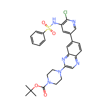 CC(C)(C)OC(=O)N1CCN(c2cnc3ccc(-c4cnc(Cl)c(NS(=O)(=O)c5ccccc5)c4)cc3n2)CC1